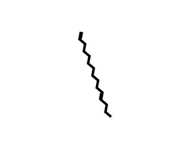 C=CCCCCCCCC/C=C/CCC